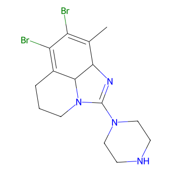 CC1=C(Br)C(Br)=C2CCCN3C(N4CCNCC4)=NC1C23